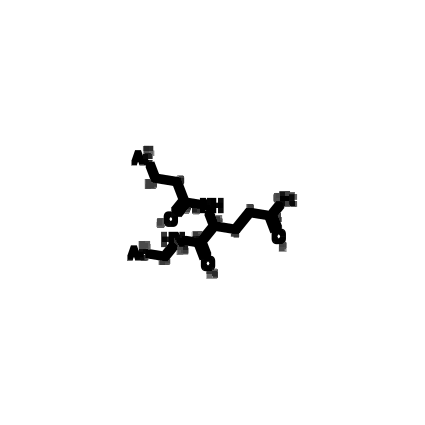 CCC(=O)CCC(NC(=O)CCC(C)=O)C(=O)NCC(C)=O